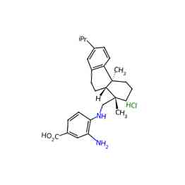 CC(C)c1ccc2c(c1)CC[C@H]1[C@@](C)(CNc3ccc(C(=O)O)cc3N)CCC[C@]21C.Cl